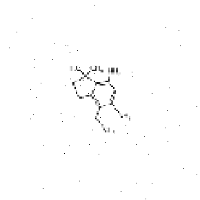 CCc1c(N)cc(N)c2c1CCC2(C)C